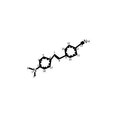 CN(C)c1ccc(/C=C/c2ccc(C#N)cc2)cc1